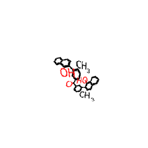 Cc1ccc(C(=O)c2ccc(C)c(-c3ccc4ccccc4c3O)c2)cc1-c1ccc2ccccc2c1O